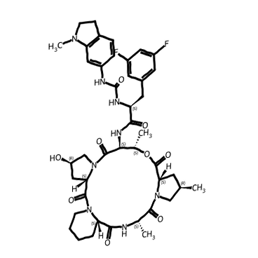 C[C@@H]1C[C@H]2C(=O)O[C@@H](C)[C@H](NC(=O)[C@H](Cc3cc(F)cc(F)c3)NC(=O)Nc3ccc4c(c3)N(C)CC4)C(=O)N3C[C@H](O)C[C@H]3C(=O)N3CCCC[C@H]3C(=O)N[C@@H](C)C(=O)N2C1